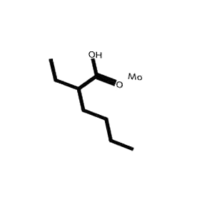 CCCCC(CC)C(=O)O.[Mo]